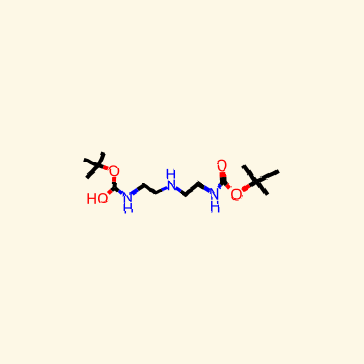 CC(C)(C)OC(=O)NCCNCCNC(O)OC(C)(C)C